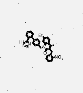 CCc1ccc2c(C)c(Cc3ccccc3[N+](=O)[O-])c(=O)n(Cc3ccc(-c4ccccc4-c4nnn[nH]4)cc3)c2c1